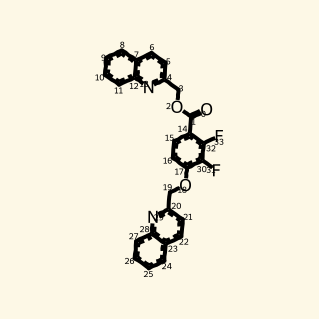 O=C(OCc1ccc2ccccc2n1)c1ccc(OCc2ccc3ccccc3n2)c(F)c1F